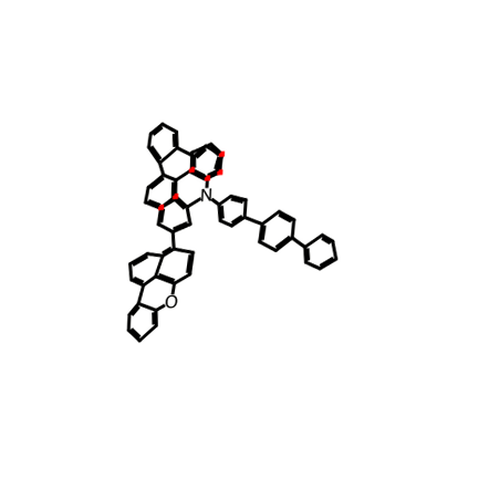 c1ccc(-c2ccc(-c3ccc(N(c4cccc(-c5ccc6c7c(cccc57)-c5ccccc5O6)c4)c4ccccc4-c4ccccc4-c4ccccc4-c4ccccc4)cc3)cc2)cc1